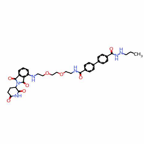 CCCNNC(=O)c1ccc(-c2ccc(C(=O)NCCOCCOCCNc3cccc4c3C(=O)N(C3CCC(=O)NC3=O)C4=O)cc2)cc1